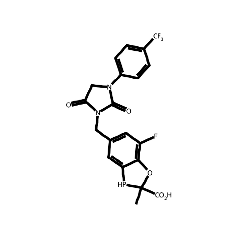 CC1(C(=O)O)Oc2c(F)cc(CN3C(=O)CN(c4ccc(C(F)(F)F)cc4)C3=O)cc2P1